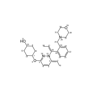 CC=C1C=CC(OC2CCC(O)CC2)=NN1/C(=C\C)c1ccccc1CN1CCOCC1